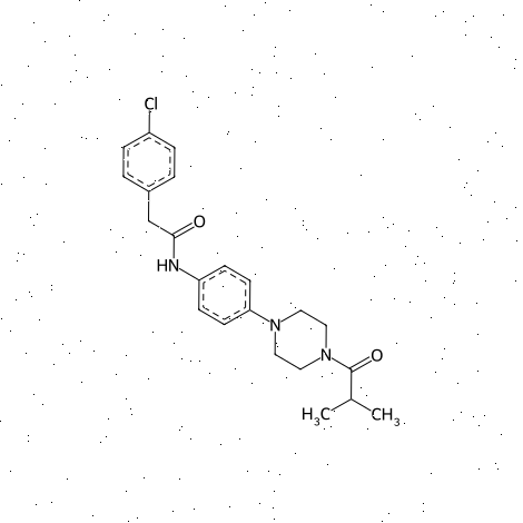 CC(C)C(=O)N1CCN(c2ccc(NC(=O)Cc3ccc(Cl)cc3)cc2)CC1